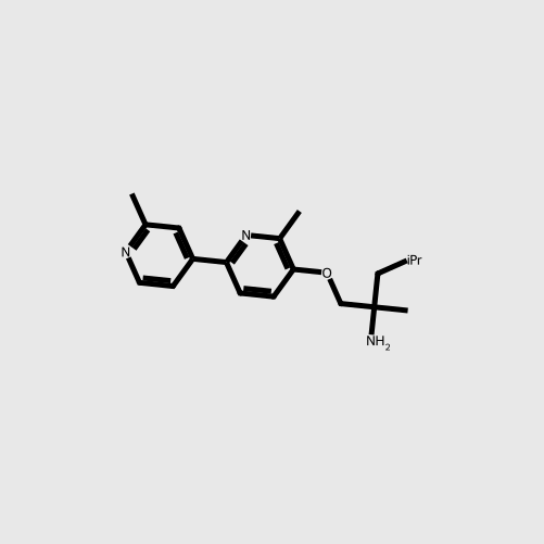 Cc1cc(-c2ccc(OCC(C)(N)CC(C)C)c(C)n2)ccn1